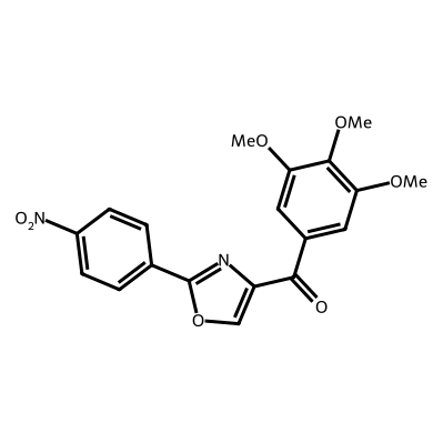 COc1cc(C(=O)c2coc(-c3ccc([N+](=O)[O-])cc3)n2)cc(OC)c1OC